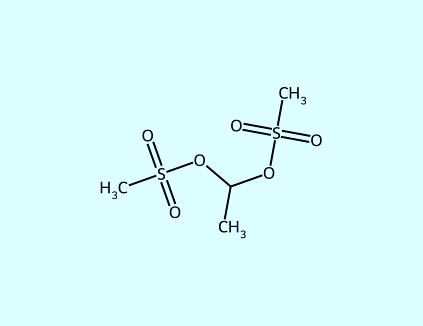 CC(OS(C)(=O)=O)OS(C)(=O)=O